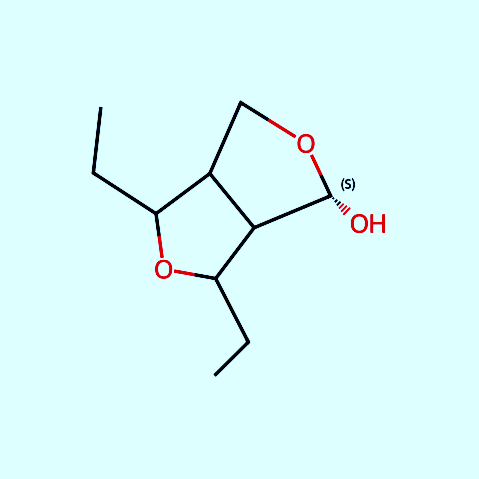 CCC1OC(CC)C2C1CO[C@@H]2O